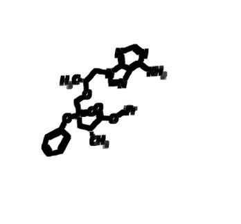 CC(C)OC(=O)[C@H](C)CP(=O)(CO[C@H](C)Cn1cnc2c(N)ncnc21)Oc1ccccc1